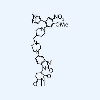 COc1cc(N2CCC(CN3CCN(c4ccc5c(c4)n(C)c(=O)n5C4CCC(=O)NC4=O)CC3)CC2)c(-c2cnn(C)c2)cc1[N+](=O)[O-]